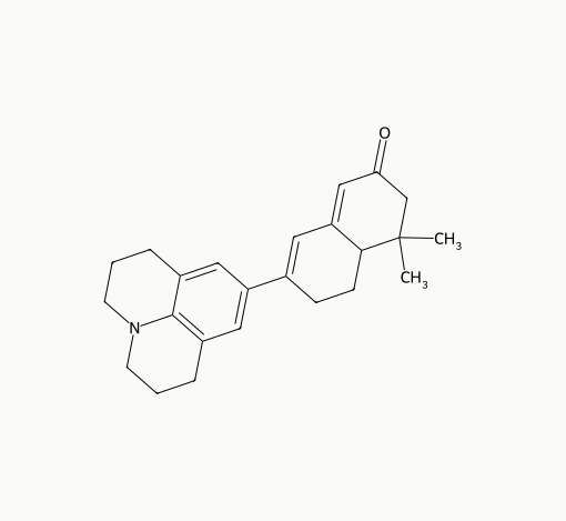 CC1(C)CC(=O)C=C2C=C(c3cc4c5c(c3)CCCN5CCC4)CCC21